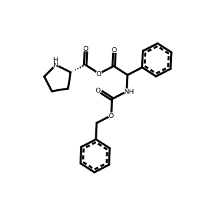 O=C(NC(C(=O)OC(=O)[C@@H]1CCCN1)c1ccccc1)OCc1ccccc1